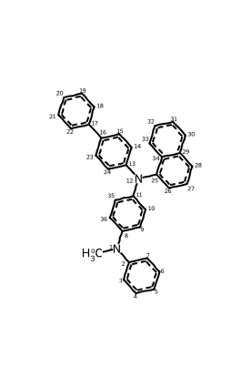 CN(c1ccccc1)c1ccc(N(c2ccc(-c3ccccc3)cc2)c2cccc3ccccc23)cc1